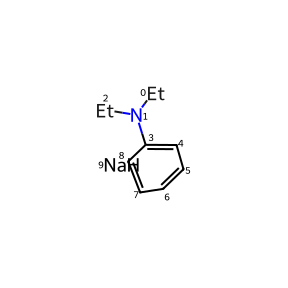 CCN(CC)c1ccccc1.[NaH]